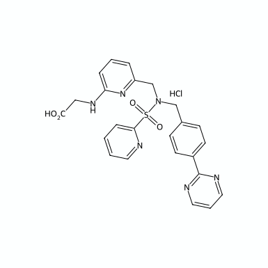 Cl.O=C(O)CNc1cccc(CN(Cc2ccc(-c3ncccn3)cc2)S(=O)(=O)c2ccccn2)n1